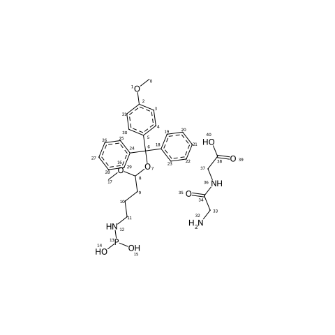 COc1ccc(C(OC(CCCNP(O)O)OC)(c2ccccc2)c2ccccc2)cc1.NCC(=O)NCC(=O)O